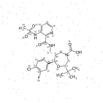 CC(C)(C)C1CN(C(=O)O)C[C@@H](CNC(=O)c2ncccc2NS(C)(=O)=O)[C@H](c2ccc(Cl)c(F)c2)O1